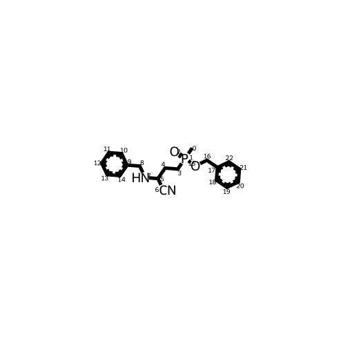 CP(=O)(CCC(C#N)NCc1ccccc1)OCc1ccccc1